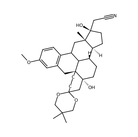 COc1ccc2c(c1)C[C@]13CCC4(C[C@]1(O)CC[C@@H]1C3C2C[C@@]2(C)[C@H]1CC[C@@]2(O)CC#N)OCC(C)(C)CO4